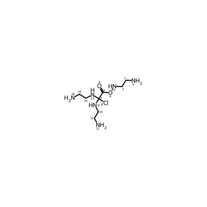 NCCNOC(=O)C(Cl)(NCCN)NCCN